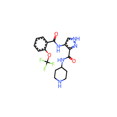 O=C(Nc1c[nH]nc1C(=O)NC1CCNCC1)c1ccccc1OC(F)(F)F